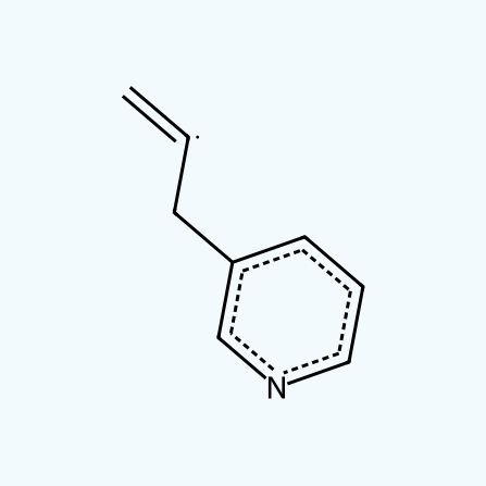 C=[C]Cc1cccnc1